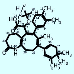 CC1=CC(/C2=C(C)/C(C3=CC(C)=C(C)CC3)=C(/C(OC(C)(C)C)C(=O)O)C3=C(CC2)NC(=O)CCC3)=CCC1(C)C